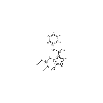 CCN(CC)Cc1c([O-])on[n+]1C(C)Cc1ccccc1